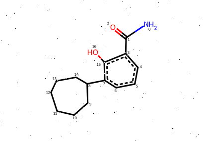 NC(=O)c1cccc(C2CCCCCC2)c1O